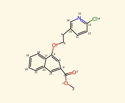 COC(=O)c1cc(OCCc2ccc(Cl)nc2)c2ccccc2c1